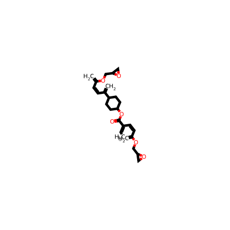 C=C(/C=C\C(=C)C1CCC(OC(=O)C(/C=C\C(=C)OCC2CO2)=C/C)CC1)OCC1CO1